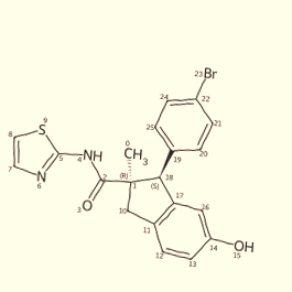 C[C@@]1(C(=O)Nc2nccs2)Cc2ccc(O)cc2[C@@H]1c1ccc(Br)cc1